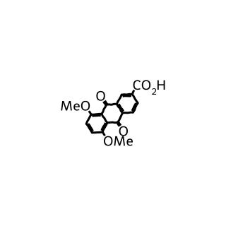 COc1ccc(OC)c2c1C(=O)c1ccc(C(=O)O)cc1C2=O